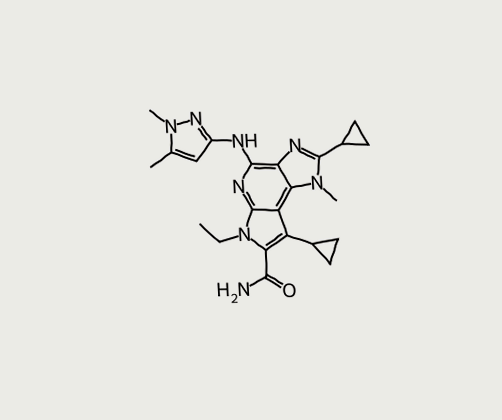 CCn1c(C(N)=O)c(C2CC2)c2c3c(nc(C4CC4)n3C)c(Nc3cc(C)n(C)n3)nc21